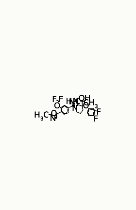 Cc1ncc(-c2ccc(-c3nnc4n3CCCC4(Oc3ccc(F)c(F)c3)C(C)(C)O)cc2OC(F)F)o1